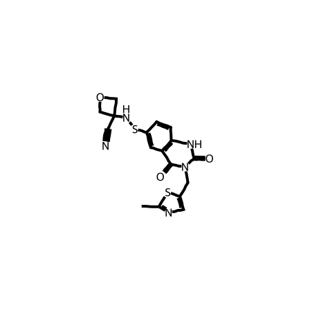 Cc1ncc(Cn2c(=O)[nH]c3ccc(SNC4(C#N)COC4)cc3c2=O)s1